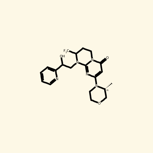 C[C@@H]1COCCN1c1cc(=O)n2c(n1)N(CC(O)c1ccccn1)C(C(F)(F)F)CC2